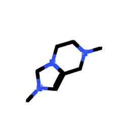 CN1C=C2CN(C)CCN2C1